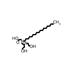 CCCCCCCCCCCCCCCCCC1N(CC(=O)O)CC(CCO)N1CCO